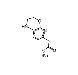 CC(C)(C)OC(=O)Cc1ccc2c(n1)OCCN2